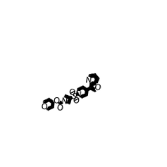 O=C(OC1CCOCC1)N1CC(S(=O)(=O)N2CCC(c3coc4cccnc34)CC2)C1